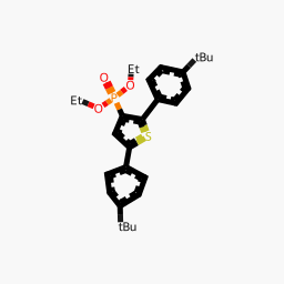 CCOP(=O)(OCC)c1cc(-c2ccc(C(C)(C)C)cc2)sc1-c1ccc(C(C)(C)C)cc1